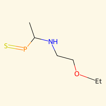 CCOCCNC(C)P=S